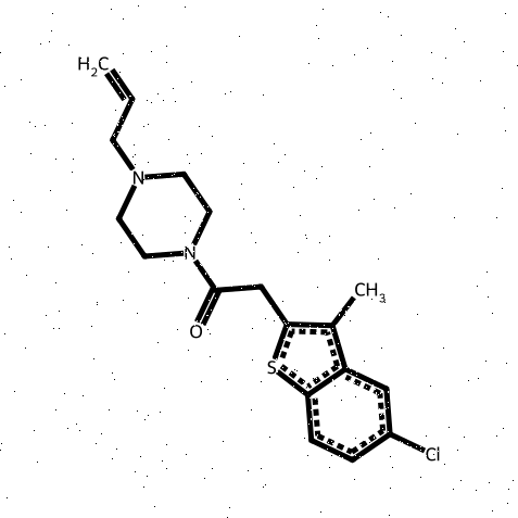 C=CCN1CCN(C(=O)Cc2sc3ccc(Cl)cc3c2C)CC1